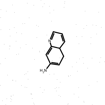 NC1=CCC2C=CC=NC2=C1